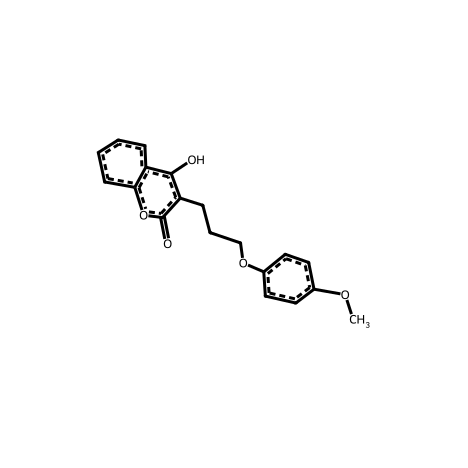 COc1ccc(OCCCc2c(O)c3ccccc3oc2=O)cc1